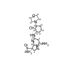 NC(=O)c1cnn2c(N)cc(Nc3cccc(N4CCOCC4)c3Cl)nc12